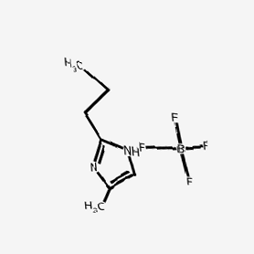 CCCc1nc(C)c[nH]1.F[B-](F)(F)F